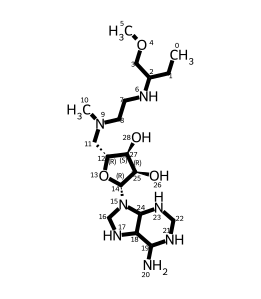 CCC(COC)NCCN(C)C[C@H]1O[C@@H](N2CNC3C(N)NCNC32)[C@H](O)[C@@H]1O